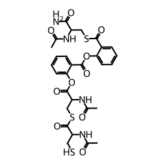 CC(=O)NC(CSC(=O)c1ccccc1OC(=O)c1ccccc1OC(=O)C(CSC(=O)C(CS)NC(C)=O)NC(C)=O)C(N)=O